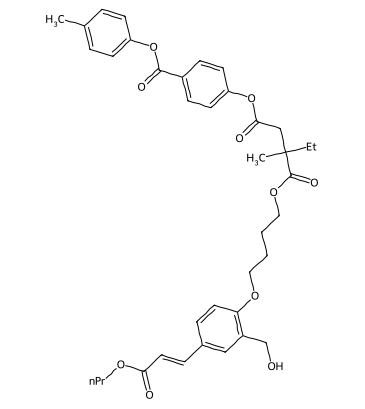 CCCOC(=O)/C=C/c1ccc(OCCCCOC(=O)C(C)(CC)CC(=O)Oc2ccc(C(=O)Oc3ccc(C)cc3)cc2)c(CO)c1